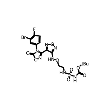 CC(C)(C)OC(=O)NS(=O)(=O)NCCONc1nonc1-c1noc(=O)n1-c1ccc(F)c(Br)c1